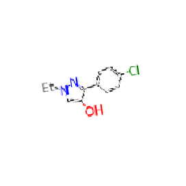 CCn1cc(O)c(-c2ccc(Cl)cc2)n1